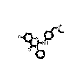 CCN(C)Cc1ccc(Nc2nc3ccc(F)cc3c(=O)n2-c2ccccc2)cc1